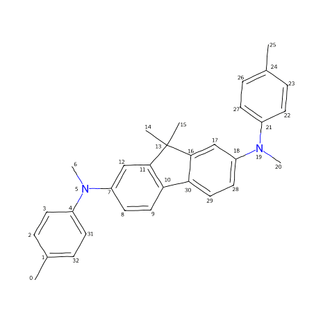 Cc1ccc(N(C)c2ccc3c(c2)C(C)(C)c2cc(N(C)c4ccc(C)cc4)ccc2-3)cc1